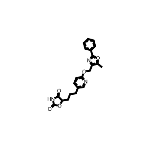 Cc1oc(-c2ccccc2)nc1COc1ccc(CCCC2OC(=O)NC2=O)cn1